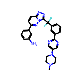 CN1CCN(c2cnc(-c3cccc(C(F)(F)c4nnc5ccc(-c6cccc(N)c6)nn45)c3)nc2)CC1